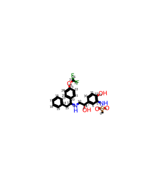 CS(=O)(=O)Nc1cc([C@@H](O)CNC(Cc2ccccc2)c2ccc(OC(F)F)cc2)ccc1O